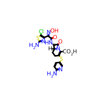 Nc1ccc(SC2=C(C(=O)O)N3C(=O)[C@@H](NC(=O)/C(=N\O)c4nc(N)sc4Cl)[C@H]3CC2)cn1